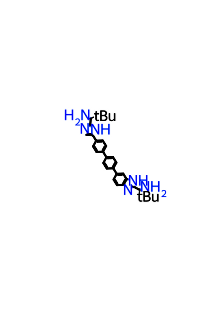 CC(C)(C)[C@H](N)c1ncc(-c2ccc(-c3ccc(-c4ccc5nc([C@@H](N)C(C)(C)C)[nH]c5c4)cc3)cc2)[nH]1